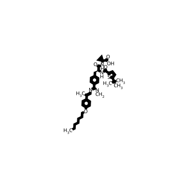 C=N/C(=N\C=C(/C)c1ccc(OCCCCCCC)cc1)c1ccc(C[C@H](NC(=O)c2ccc(C(C)(C)C)s2)C(=O)NC2(C(=O)O)CC2)cc1